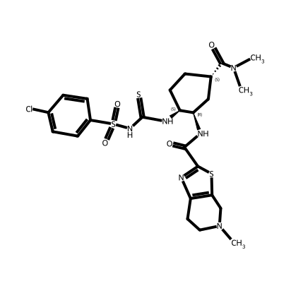 CN1CCc2nc(C(=O)N[C@@H]3C[C@@H](C(=O)N(C)C)CC[C@@H]3NC(=S)NS(=O)(=O)c3ccc(Cl)cc3)sc2C1